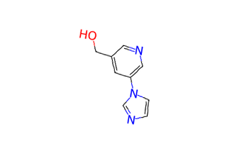 OCc1cncc(-n2ccnc2)c1